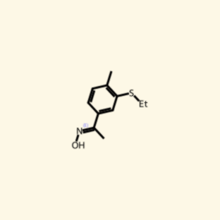 CCSc1cc(/C(C)=N/O)ccc1C